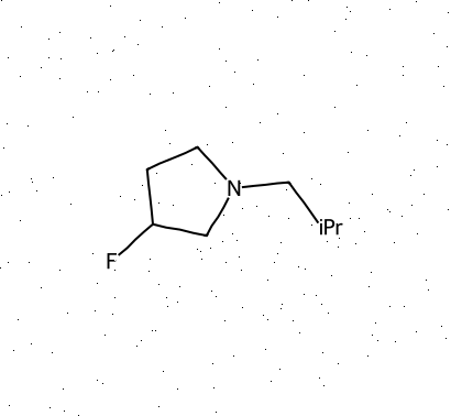 CC(C)CN1CCC(F)C1